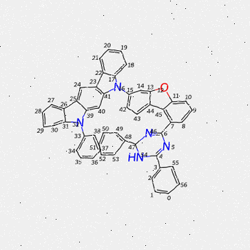 c1ccc(C2=NC(c3cccc4oc5cc(-n6c7ccccc7c7cc8c9ccccc9n(-c9ccccc9)c8cc76)ccc5c34)=NC(c3ccccc3)N2)cc1